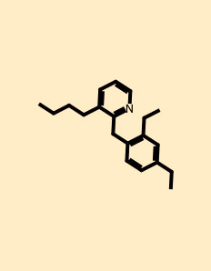 CCCCc1cccnc1Cc1ccc(CC)cc1CC